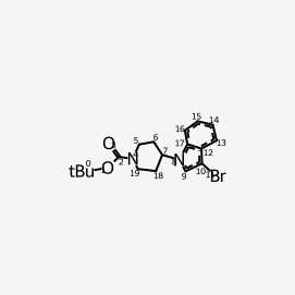 CC(C)(C)OC(=O)N1CCC(n2cc(Br)c3ccccc32)CC1